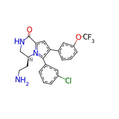 NCC[C@H]1CNC(=O)c2cc(-c3cccc(OC(F)(F)F)c3)c(-c3cccc(Cl)c3)n21